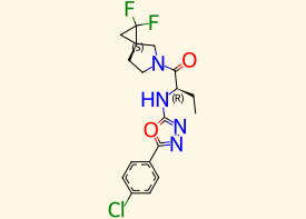 CC[C@@H](Nc1nnc(-c2ccc(Cl)cc2)o1)C(=O)N1CC[C@@]2(C1)CC2(F)F